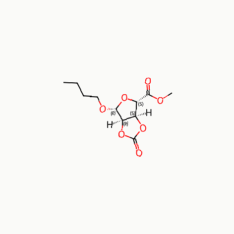 CCCCO[C@@H]1O[C@H](C(=O)OC)[C@H]2OC(=O)O[C@@H]12